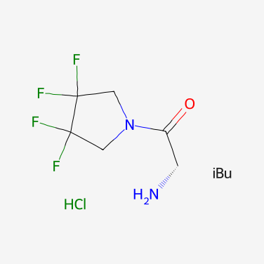 CC[C@H](C)[C@H](N)C(=O)N1CC(F)(F)C(F)(F)C1.Cl